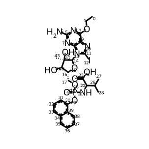 CCOc1nc(N)nc2c1nc(I)n2C1O[C@H](COP(=O)(NC(C(=O)O)C(C)C)Oc2cccc3ccccc23)[C@@H](O)[C@@]1(C)O